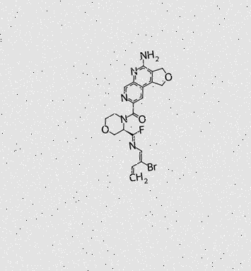 C=C/C(Br)=C\N=C(/F)[C@H]1COCCN1C(=O)c1cc2c3c(c(N)nc2cn1)COC3